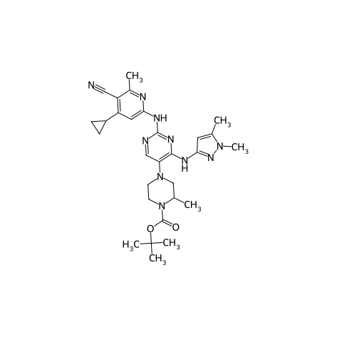 Cc1nc(Nc2ncc(N3CCN(C(=O)OC(C)(C)C)C(C)C3)c(Nc3cc(C)n(C)n3)n2)cc(C2CC2)c1C#N